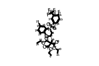 CCOC(=O)C(C[C@H]1CN(S(=O)(=O)c2ccc(F)c(C(F)(F)F)c2)c2cc(I)ccc2O1)(C(=O)OCC)C(=O)OCC